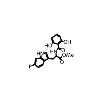 COC(=O)C(Cc1c[nH]c2cc(F)ccc12)NC(=O)c1c(O)cccc1O